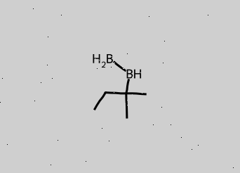 BBC(C)(C)CC